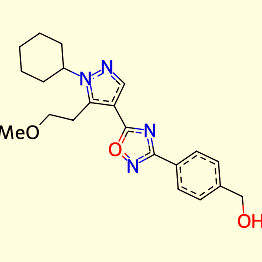 COCCc1c(-c2nc(-c3ccc(CO)cc3)no2)cnn1C1CCCCC1